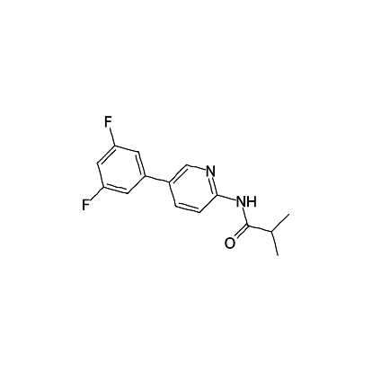 CC(C)C(=O)Nc1ccc(-c2cc(F)cc(F)c2)cn1